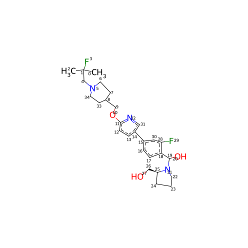 CC(C)(F)CN1CCC(COc2ccc(-c3ccc(C(O)N4CCC[C@H]4CO)c(F)c3)cn2)CC1